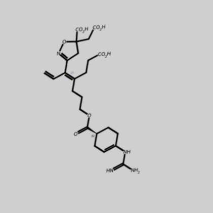 C=C/C(C1=NOC(CC(=O)O)(C(=O)O)C1)=C(\CCCOC(=O)[C@@H]1CC=C(NC(=N)N)CC1)CCC(=O)O